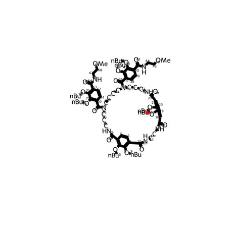 CCCCOc1c2ccc(c1OCCCC)C(=O)NCCNC(=O)c1ccc(c(OCCCC)c1OCCCC)C(=O)NCCCN(C(=O)c1ccc(C(=O)NCCOC)c(OCCCC)c1OCCCC)CCCCN(C(=O)c1ccc(C(=O)NCCOC)c(OCCCC)c1OCCCC)CCCNC2=O